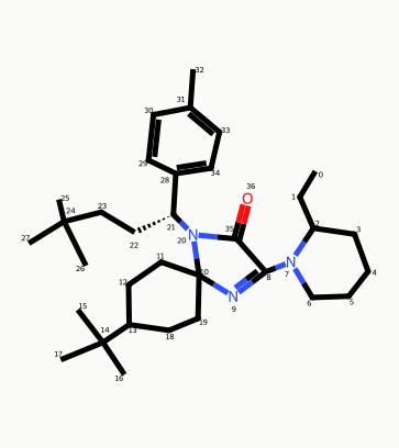 CCC1CCCCN1C1=NC2(CCC(C(C)(C)C)CC2)N([C@H](CCC(C)(C)C)c2ccc(C)cc2)C1=O